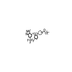 Cn1nnc2cc(C(F)(F)F)cc(COCC3(c4ccc(F)cc4)CCN(C(=O)OC(C)(C)C)CC3)c21